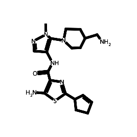 Cn1ncc(NC(=O)c2nc(C3C=CCC3)sc2N)c1N1CCC(CN)CC1